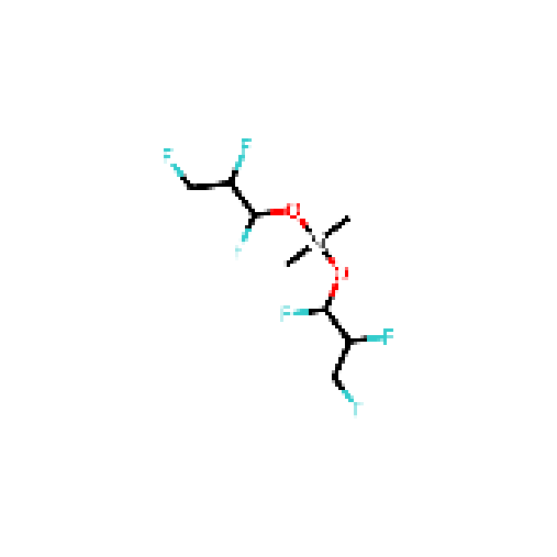 C[Si](C)(OC(F)C(F)CF)OC(F)C(F)CF